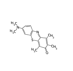 Cc1c2nc3ccc(N(C)C)cc3sc-2c(C)c(=O)c1C